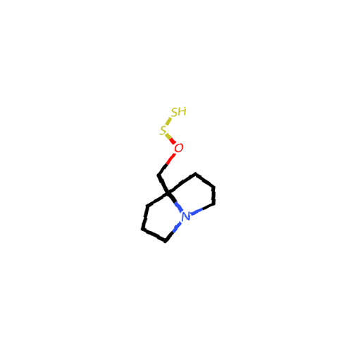 SSOCC12CCCN1CCC2